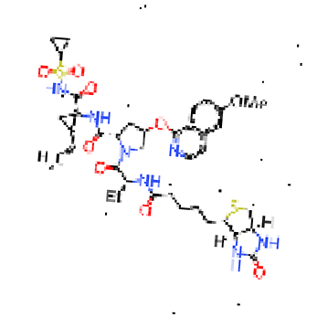 C=CC1C[C@]1(NC(=O)[C@@H]1C[C@@H](Oc2nccc3cc(OC)ccc23)CN1C(=O)[C@H](CC)NC(=O)CCCC[C@H]1SC[C@H]2NC(=O)N[C@H]21)C(=O)NS(=O)(=O)C1CC1